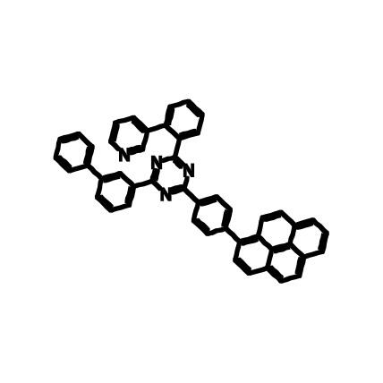 c1ccc(-c2cccc(-c3nc(-c4ccc(-c5ccc6ccc7cccc8ccc5c6c78)cc4)nc(-c4ccccc4-c4cccnc4)n3)c2)cc1